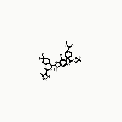 COC(=O)N1CCC(C(=O)N2CC(F)(F)C2)(c2ccc3[nH]c([C@@H](NC(=O)c4nonc4C)C4CCC(F)(F)CC4)nc3c2F)CC1